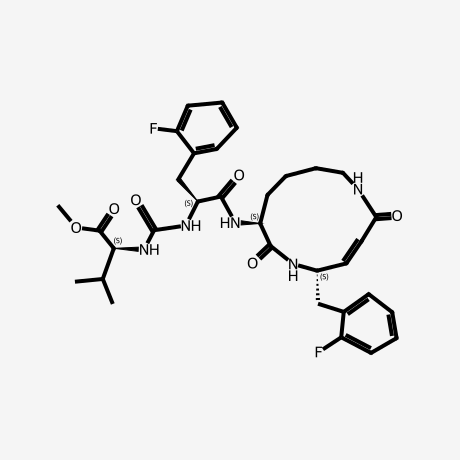 COC(=O)[C@@H](NC(=O)N[C@@H](Cc1ccccc1F)C(=O)N[C@H]1CCCCNC(=O)C=C[C@H](Cc2ccccc2F)NC1=O)C(C)C